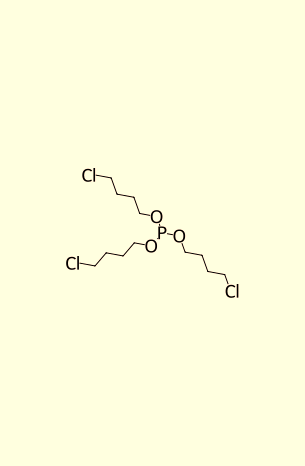 ClCCCCOP(OCCCCCl)OCCCCCl